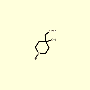 COCC1(O)CC[S+]([O-])CC1